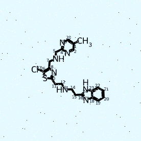 Cc1cnc(CNCc2nc(CCNCCc3nc4ccccc4[nH]3)sc2Cl)nc1